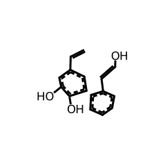 C=Cc1ccc(O)c(O)c1.OC=Cc1ccccc1